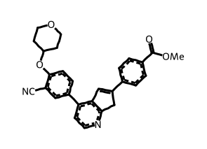 COC(=O)c1ccc(C2=Cc3c(-c4ccc(OC5CCOCC5)c(C#N)c4)ccnc3C2)cc1